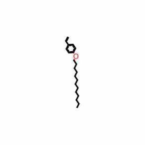 C=Cc1ccc(OCCCCCCCCCCCCC)cc1